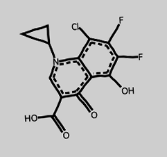 O=C(O)c1cn(C2CC2)c2c(Cl)c(F)c(F)c(O)c2c1=O